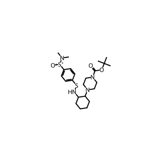 CN(C)[S+]([O-])c1ccc(SNC2CCCCC2N2CCN(C(=O)OC(C)(C)C)CC2)cc1